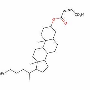 CC(C)CCCC(C)C1CCC2C3CCC4CC(OC(=O)/C=C\C(=O)O)CCC4(C)C3CCC12C